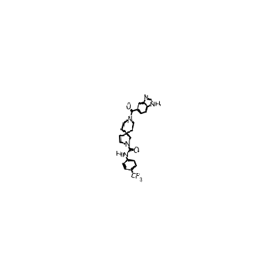 O=C(Nc1ccc(C(F)(F)F)cc1)N1CCC2(CCN(C(=O)c3ccc4[nH]cnc4c3)CC2)C1